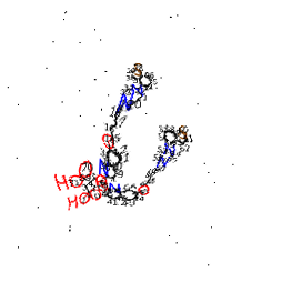 O=C(O)CC(COc1ccc2ccc(OCCCCN3CCN(c4cccc5sccc45)CC3)cc2n1)(COc1ccc2ccc(OCCCCN3CCN(c4cccc5sccc45)CC3)cc2n1)C(=O)O